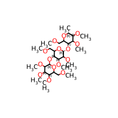 COCC1O[C@H](C)[C@@H](OC)C(OC)[C@@H]1O[C@H]1OC(COC)[C@@H](O[C@H]2OC(COC)[C@@H](OC)[C@@H](OC)C2OC)[C@@H](OC)C1OC